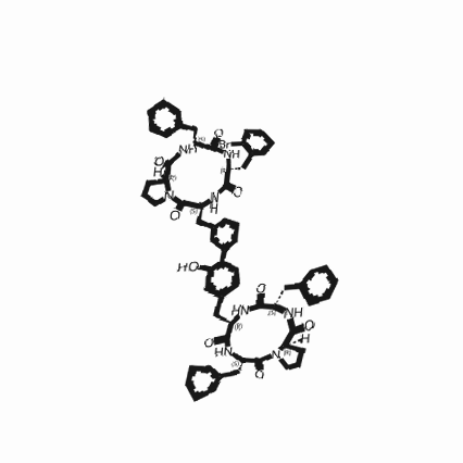 O=C1N[C@H](Cc2ccc(-c3cccc(C[C@@H]4NC(=O)[C@@H](Cc5ccccc5Br)NC(=O)[C@H](Cc5ccccc5)NC(=O)[C@H]5CCCN5C4=O)c3)c(O)c2)C(=O)N[C@@H](Cc2ccccc2)C(=O)N2CCC[C@@H]2C(=O)N[C@H]1Cc1ccccc1